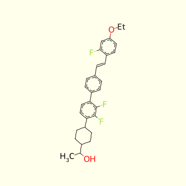 CCOc1ccc(/C=C/c2ccc(-c3ccc(C4CCC(C(C)O)CC4)c(F)c3F)cc2)c(F)c1